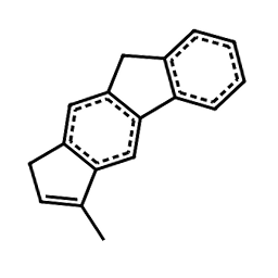 CC1=CCc2cc3c(cc21)-c1ccccc1C3